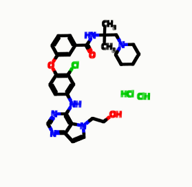 CC(C)(CN1CCCCC1)NC(=O)c1cccc(Oc2ccc(Nc3ncnc4ccn(CCO)c34)cc2Cl)c1.Cl.Cl